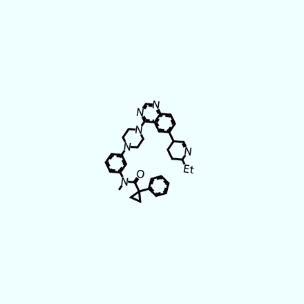 CCC1CCC(c2ccc3ncnc(N4CCN(c5cccc(N(C)C(=O)C6(c7ccccc7)CC6)c5)CC4)c3c2)C=N1